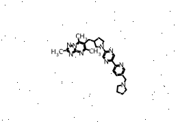 Cc1nc2nc(C)c(CC3CCN(c4cnc(-c5ccc(CN6CCCC6)cn5)cn4)C3)c(C)n2n1